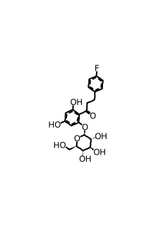 O=C(CCc1ccc(F)cc1)c1c(O)cc(O)cc1O[C@@H]1O[C@H](CO)[C@@H](O)[C@H](O)[C@H]1O